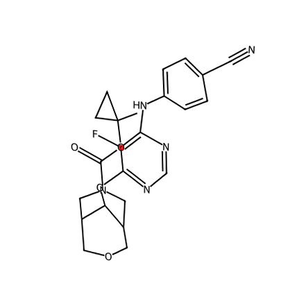 CC1(OC(=O)N2CC3COCC(C2)C3Oc2ncnc(Nc3ccc(C#N)cc3)c2F)CC1